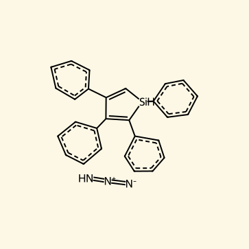 C1=C(c2ccccc2)C(c2ccccc2)=C(c2ccccc2)[SiH]1c1ccccc1.[N-]=[N+]=N